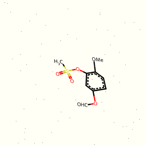 COc1ccc(OC=O)cc1OS(C)(=O)=O